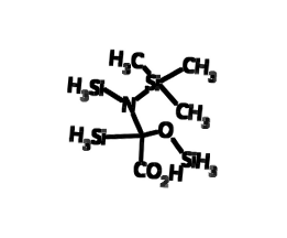 C[Si](C)(C)N([SiH3])C([SiH3])(O[SiH3])C(=O)O